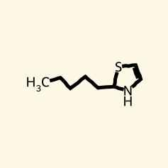 CCCCCC1NC=CS1